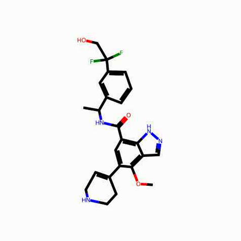 COc1c(C2=CCNCC2)cc(C(=O)NC(C)c2cccc(C(F)(F)CO)c2)c2[nH]ncc12